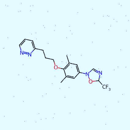 Cc1cc(N2C=NC(C(F)(F)F)O2)cc(C)c1OCCCc1cccnn1